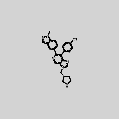 Cn1ncc2cc(-c3ncc4c(ncn4C[C@H]4CCNC4)c3-c3ccc(C#N)cc3)ccc21